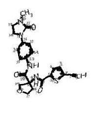 C#Cc1ccc(C(=O)NC2(C(=O)Nc3ccc(N4CCN(C)C4=O)cc3)CCOC2)s1